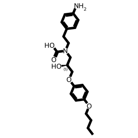 CCCCOc1ccc(OC[C@@H](O)CN(CCc2ccc(N)cc2)C(=O)O)cc1